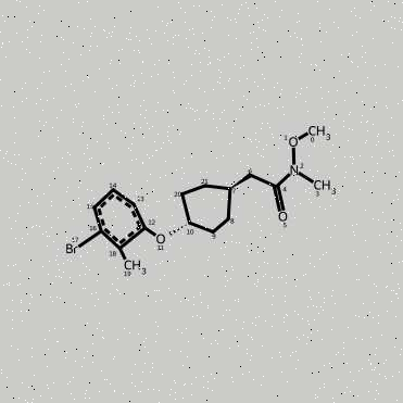 CON(C)C(=O)C[C@H]1CC[C@H](Oc2cccc(Br)c2C)CC1